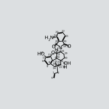 C=CCN1CC[C@]23c4c5ccc(O)c4O[C@H]2[C@H](N2C(=O)c4cccc(N)c4C2=O)CC[C@@]3(O)[C@H]1C5